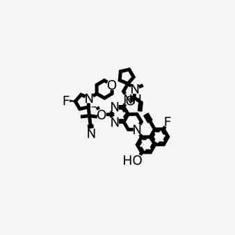 C#Cc1c(F)ccc2cc(O)cc(N3CCc4c(nc(OC[C@]5(C(C)(C)C#N)C[C@@H](F)CN5C5CCOCC5)nc4NCC4(N(C)C(=O)C=C)CCCC4)C3)c12